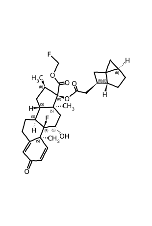 C[C@@H]1C[C@H]2[C@@H]3CCC4=CC(=O)C=C[C@]4(C)[C@@]3(F)[C@@H](O)C[C@]2(C)[C@@]1(OC(=O)C[C@H]1CC23C[C@H]2CC[C@H]13)C(=O)OCF